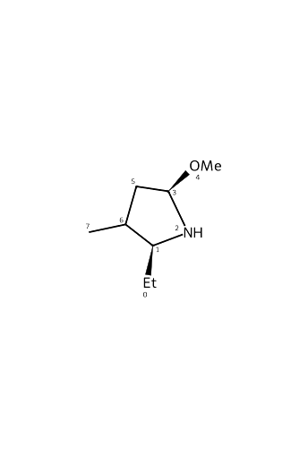 CC[C@@H]1N[C@H](OC)CC1C